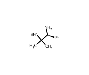 CCCC(C)(C)[C@@H](N)C(C)C